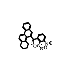 O=C(c1cccc([N+](=O)[O-])c1[N+](=O)[O-])c1cc2ccccc2c2ccc3c(c12)CCCC3